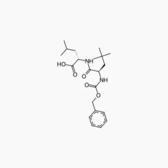 CC(C)C[C@H](NC(=O)[C@@H](CC(C)(C)C)NC(=O)OCc1ccccc1)C(=O)O